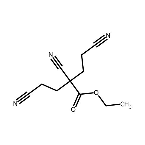 CCOC(=O)C(C#N)(CCC#N)CCC#N